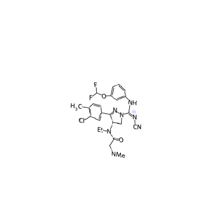 CCN(C(=O)CNC)C1CN(/C(=N\C#N)Nc2cccc(OC(F)F)c2)N=C1c1ccc(C)c(Cl)c1